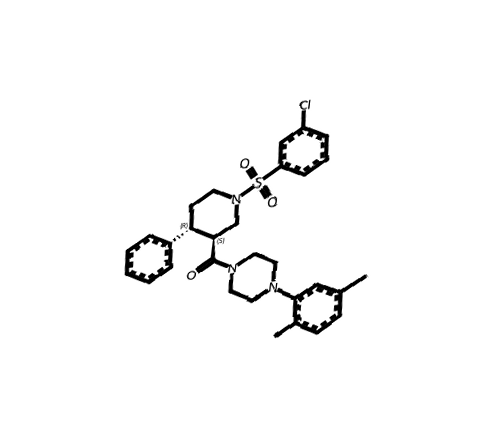 Cc1ccc(C)c(N2CCN(C(=O)[C@@H]3CN(S(=O)(=O)c4cccc(Cl)c4)CC[C@H]3c3ccccc3)CC2)c1